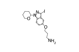 NCCCOc1ccc2c(c1)c(I)nn2C1CCCCO1